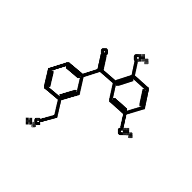 CCc1cccc(C(=O)c2cc(C)ccc2C)c1